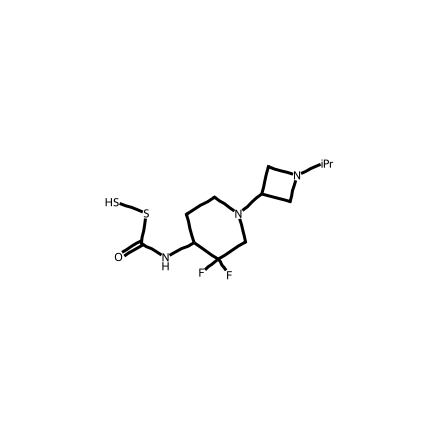 CC(C)N1CC(N2CCC(NC(=O)SS)C(F)(F)C2)C1